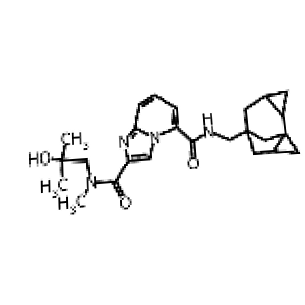 CN(CC(C)(C)O)C(=O)c1cn2c(C(=O)NCC34CC5CC5C5(CC5C3)C4)cccc2n1